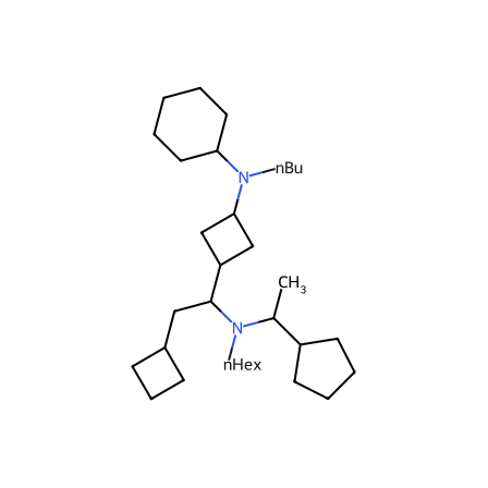 CCCCCCN(C(C)C1CCCC1)C(CC1CCC1)C1CC(N(CCCC)C2CCCCC2)C1